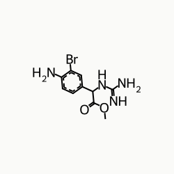 COC(=O)C(NC(=N)N)c1ccc(N)c(Br)c1